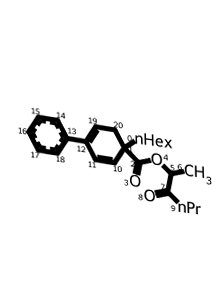 CCCCCCC1(C(=O)OC(C)C(=O)CCC)C=CC(c2ccccc2)=CC1